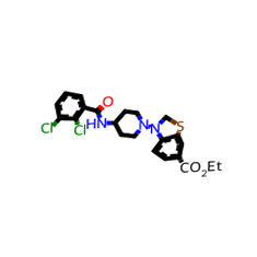 CCOC(=O)c1ccc2c(c1)SCN2N1CCC(NC(=O)c2cccc(Cl)c2Cl)CC1